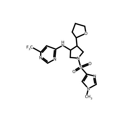 Cn1cnc(S(=O)(=O)N2CC(Nc3cc(C(F)(F)F)ncn3)C(C3CCCO3)C2)c1